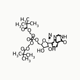 CC(C)(C)C(=O)OCOP(=O)(OCOC(=O)C(C)(C)C)OC[C@H]1O[C@@](C#N)(c2ccc3c(=O)[nH]cnn23)[C@H](O)[C@@H]1O